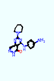 Nc1ccc(Nc2nc(N3CCCCCC3)nc3cn[nH]c(=O)c23)cc1